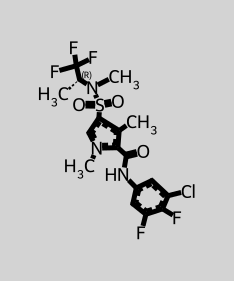 Cc1c(S(=O)(=O)N(C)[C@H](C)C(F)(F)F)cn(C)c1C(=O)Nc1cc(F)c(F)c(Cl)c1